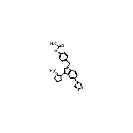 CC(=O)Nc1ccc(Cn2cc([C@H]3CCCN3C)c3cc(-n4cnnc4)ccc32)cc1